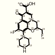 O=C(O)c1cn2c3c(c(N4CCNCC4)c(F)cc3c1=O)OC(CF)C2